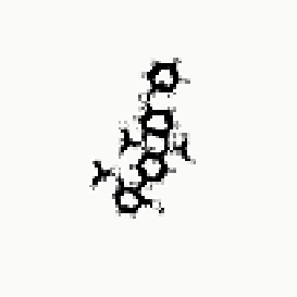 COc1cccc(OC(C)C)c1-c1ccc2c(c1)N(C(C)C)c1cc(Oc3ccccc3)ccc1N2C(C)C